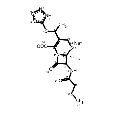 CC(Sc1nnn[nH]1)C1=C(C(=O)[O-])N2C(=O)C(NC(=O)CSC(F)(F)F)[C@@H]2SC1.[Na+]